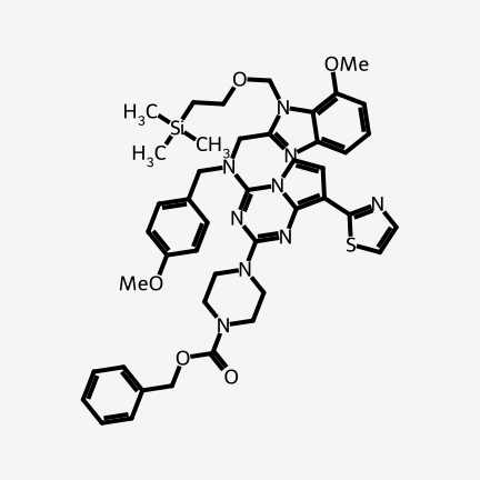 COc1ccc(CN(Cc2nc3cccc(OC)c3n2COCC[Si](C)(C)C)c2nc(N3CCN(C(=O)OCc4ccccc4)CC3)nc3c(-c4nccs4)ccn23)cc1